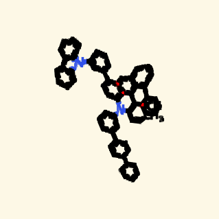 C#C/C(=C(\C=C/C)N(c1ccc(-c2cccc(-n3c4ccccc4c4ccccc43)c2)cc1)c1cccc(-c2ccc(-c3ccccc3)cc2)c1)c1cccc2cccc(C3=CC=CCC3)c12